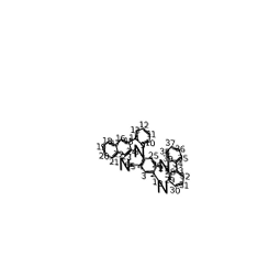 N#Cc1cc(C#N)c(-n2c3ccccc3c3cc4ccccc4cc32)cc1-n1c2ccccc2c2ccccc21